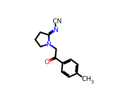 Cc1ccc(C(=O)CN2CCC/C2=N\C#N)cc1